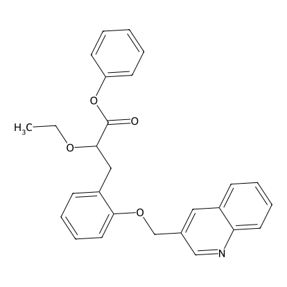 CCOC(Cc1ccccc1OCc1cnc2ccccc2c1)C(=O)Oc1ccccc1